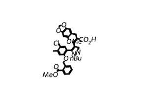 CCCCn1ncc(C=C(Cc2cc3c(cc2OC)OCO3)C(=O)O)c1-c1cc(Cl)c(C)cc1OCc1ccccc1C(=O)OC